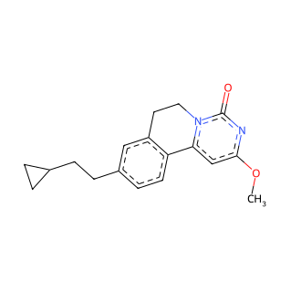 COc1cc2n(c(=O)n1)CCc1cc(CCC3CC3)ccc1-2